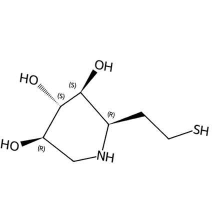 O[C@@H]1[C@@H](O)[C@@H](CCS)NC[C@H]1O